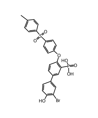 Cc1ccc(S(=O)(=O)c2ccc(Oc3ccc(-c4ccc(O)c(Br)c4)cc3P(=O)(O)O)cc2)cc1